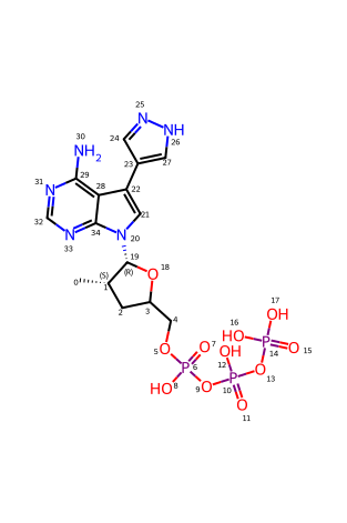 C[C@H]1CC(COP(=O)(O)OP(=O)(O)OP(=O)(O)O)O[C@H]1n1cc(-c2cn[nH]c2)c2c(N)ncnc21